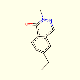 CCc1ccc2c(=O)n(C)ncc2c1